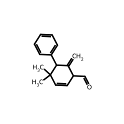 C=C1C(C=O)C=CC(C)(C)C1c1ccccc1